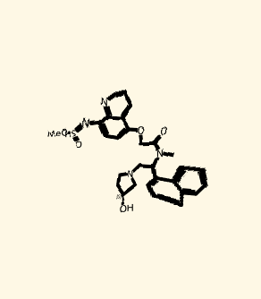 CO[SH](=O)=Nc1ccc(OCC(=O)N(C)C(CN2CC[C@H](O)C2)c2cccc3ccccc23)c2cccnc12